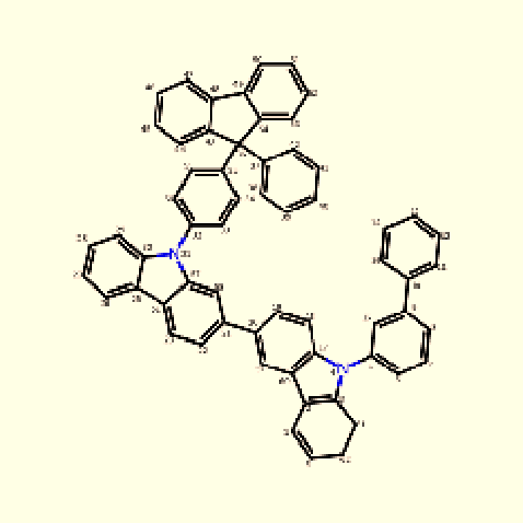 C1=Cc2c(n(-c3cccc(-c4ccccc4)c3)c3ccc(-c4ccc5c6ccccc6n(-c6ccc(C7(c8ccccc8)c8ccccc8-c8ccccc87)cc6)c5c4)cc23)CC1